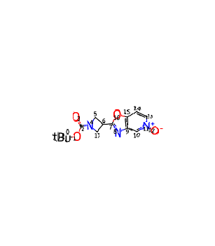 CC(C)(C)OC(=O)N1CC(c2nc3c[n+]([O-])ccc3o2)C1